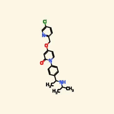 CC(C)NC(C)c1ccc(-n2ccc(OCc3ccc(Cl)cn3)cc2=O)cc1